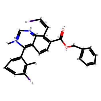 Cc1c(I)cccc1-c1c2ccc(C(=O)OCc3ccccc3)c(/C=C\I)c2nc[n+]1C